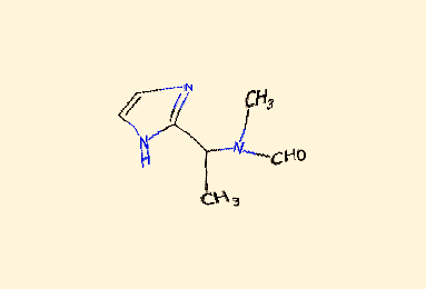 CC(c1ncc[nH]1)N(C)C=O